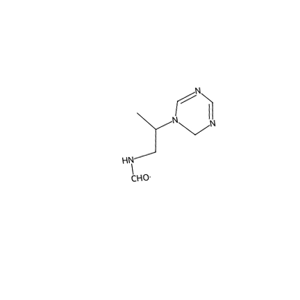 CC(CN[C]=O)N1C=NC=NC1